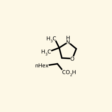 CC1(C)COCN1.CCCCCCCC(=O)O